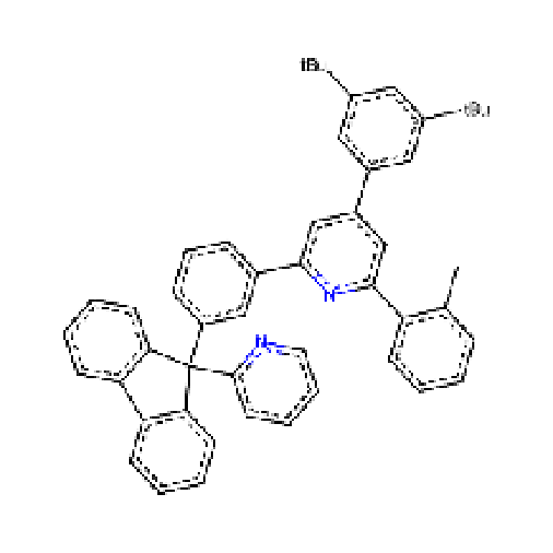 Cc1ccccc1-c1cc(-c2cc(C(C)(C)C)cc(C(C)(C)C)c2)cc(-c2cccc(C3(c4ccccn4)c4ccccc4-c4ccccc43)c2)n1